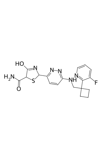 NC(=O)C1SC(c2ccc(NCC3(c4ncccc4F)CCC3)nn2)N=C1O